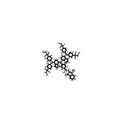 CCC(C)(C)c1ccc(N(c2ccc(C(C)(C)CC)cc2)c2ccc3c4c2ccn4-c2cc(N(C)CN4C(=O)c5ccccc5C4=O)cc4c2B3c2ccc(N(c3ccc(C(C)(C)CC)cc3)c3ccc(C(C)(C)CC)cc3)c3ccn-4c23)cc1